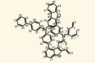 C=C/C=C(\C=C/C)N(/C(C)=C/c1c(C=C)sc2cccc(-c3ccc(N(c4ccc(-c5ccccc5)cc4)c4ccc5oc6ccccc6c5c4)cc3)c12)c1ccccc1